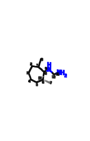 CC1CCCC[C@@H](C)C1NCN